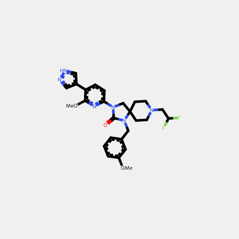 COc1cccc(CN2C(=O)N(c3ccc(-c4cn[nH]c4)c(OC)n3)CC23CCN(CC(F)F)CC3)c1